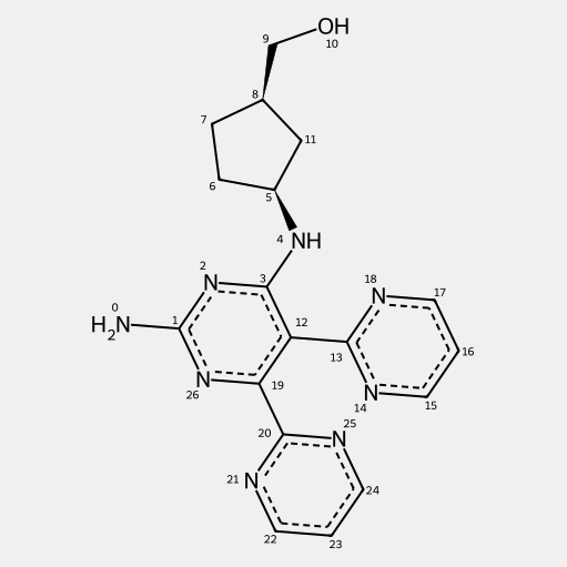 Nc1nc(N[C@H]2CC[C@@H](CO)C2)c(-c2ncccn2)c(-c2ncccn2)n1